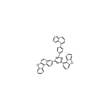 c1ccc2c(-c3ccc(-c4nc(-c5ccc6c(ccc7oc8ccccc8c76)c5)nc(-c5cccc6oc7ccccc7c56)n4)cc3)cccc2c1